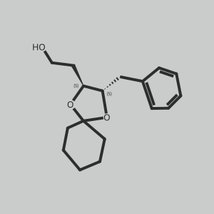 OCC[C@@H]1OC2(CCCCC2)O[C@H]1Cc1ccccc1